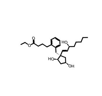 CCCCC[C@H](O)/C=C/[C@@]1(Cc2ccccc2CCCC(=O)OCC)C[C@@H](O)C[C@H]1O